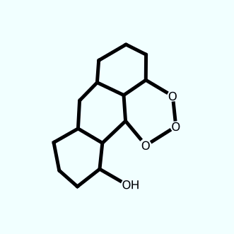 OC1CCCC2CC3CCCC4OOOC(C12)C34